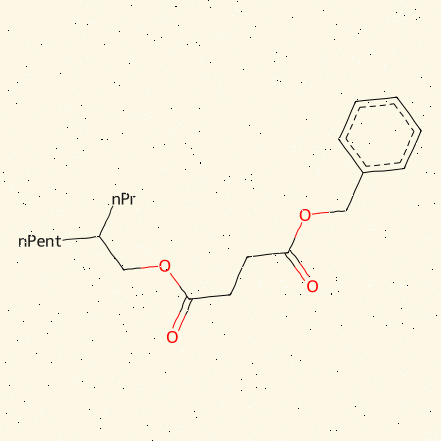 CCCCCC(CCC)COC(=O)CCC(=O)OCc1ccccc1